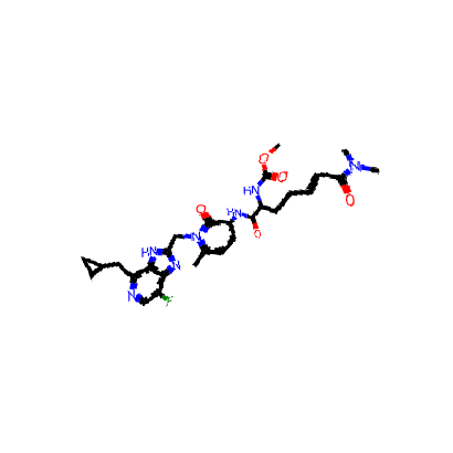 COC(=O)NC(CCC=CC(=O)N(C)C)C(=O)Nc1ccc(C)n(Cc2nc3c(F)cnc(CC4CC4)c3[nH]2)c1=O